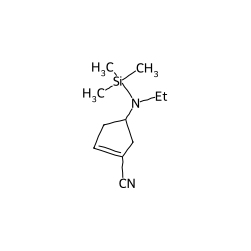 CCN(C1CC=C(C#N)C1)[Si](C)(C)C